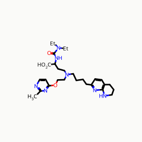 CCN(CC)C(=O)NC(CCN(CCCCc1ccc2c(n1)NCCC2)CCOc1ccnc(C)n1)C(=O)O